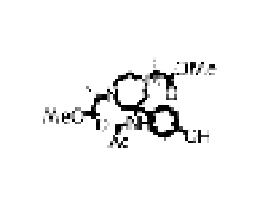 COC(=O)[C@@H](C)N1CCN([C@@H](C)C(=O)OC)CC(NCC(C)=O)(c2ccc(O)cc2)C1